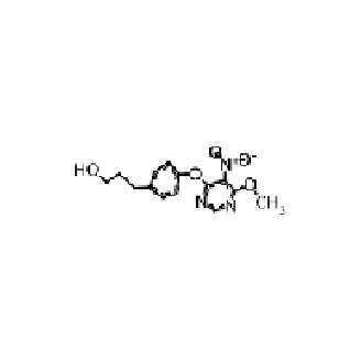 COc1ncnc(Oc2ccc(CCCO)cc2)c1[N+](=O)[O-]